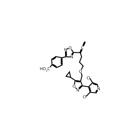 C=C=C(CCCOCc1c(-c2c(Cl)cncc2Cl)noc1C1CC1)c1nc(-c2ccc(C(=O)O)cc2)no1